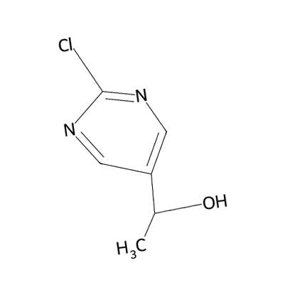 CC(O)c1cnc(Cl)nc1